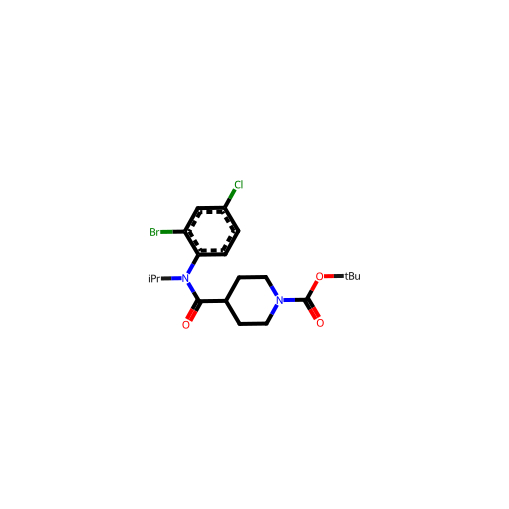 CC(C)N(C(=O)C1CCN(C(=O)OC(C)(C)C)CC1)c1ccc(Cl)cc1Br